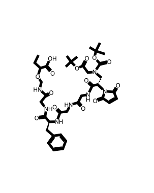 CCC(OCNC(=O)CNC(=O)[C@H](Cc1ccccc1)NC(=O)CNC(=O)CNC(=O)[C@H](CN(CC(=O)OC(C)(C)C)C(=O)OC(C)(C)C)N1C(=O)C=CC1=O)C(=O)O